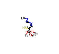 CC/N=C/N=C\C(S)[Si](OCC)(OCC)OCC